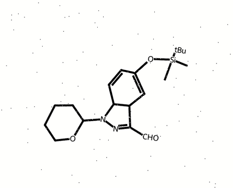 CC(C)(C)[Si](C)(C)OC1=CC2C(C=O)=NN(C3CCCCO3)C2C=C1